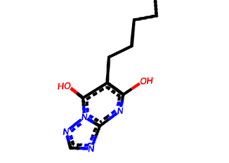 CCCCCc1c(O)nc2ncnn2c1O